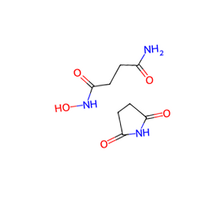 NC(=O)CCC(=O)NO.O=C1CCC(=O)N1